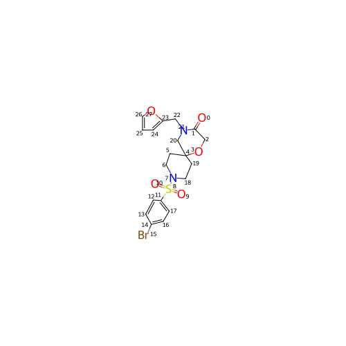 O=C1COC2(CCN(S(=O)(=O)c3ccc(Br)cc3)CC2)CN1Cc1ccco1